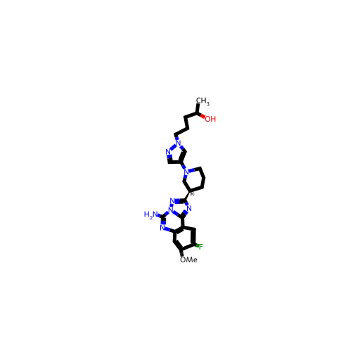 COc1cc2nc(N)n3nc([C@@H]4CCCN(c5cnn(CCCC(C)O)c5)C4)nc3c2cc1F